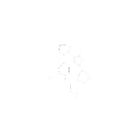 COc1ccc(-c2c(-c3ccccc3)c(C)nn2-c2ccccc2)cc1CCN(C)C